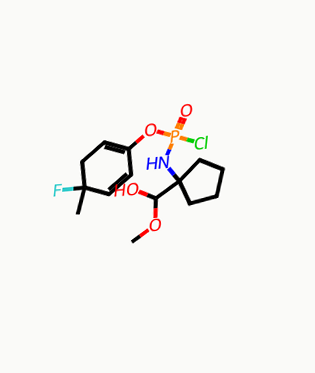 COC(O)C1(NP(=O)(Cl)OC2=CCC(C)(F)C=C2)CCCC1